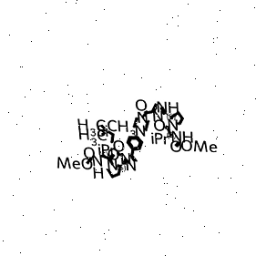 COC(=O)N[C@H](C(=O)N1CCC[C@H]1c1nc(C(=O)N2CCN(c3ccc(-c4cnc([C@@H]5CCCN5C(=O)[C@@H](NC(=O)OC)C(C)C)n4COCC[Si](C)(C)C)cc3)CC2)c[nH]1)C(C)C